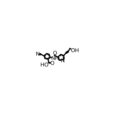 N#Cc1ccc(NC(=O)c2cncc(C#CCO)c2)c(C(=O)O)c1